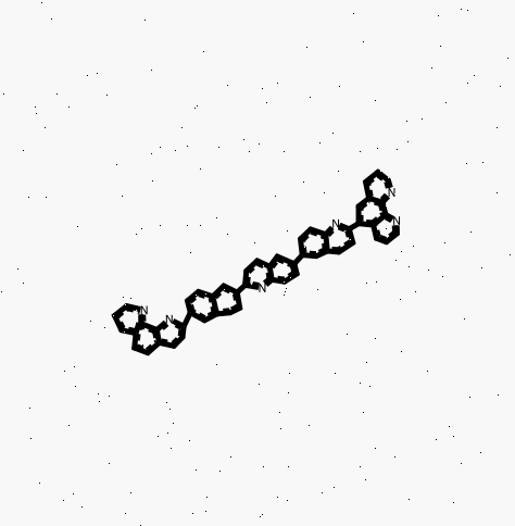 c1cnc2c(c1)ccc1ccc(-c3ccc4cc(-c5ccc6cc(-c7ccc8nc(-c9cc%10cccnc%10c%10ncccc9%10)ccc8c7)ccc6n5)ccc4c3)nc12